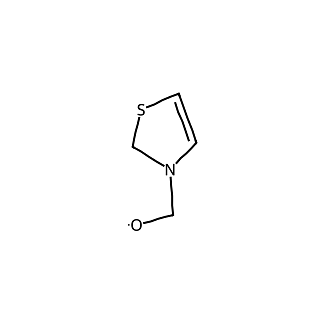 [O]CN1C=CSC1